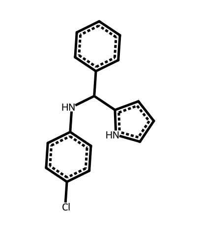 Clc1ccc(NC(c2ccccc2)c2ccc[nH]2)cc1